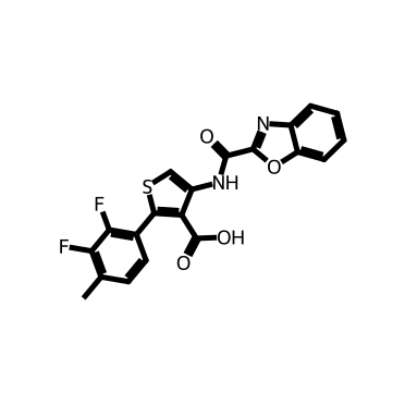 Cc1ccc(-c2scc(NC(=O)c3nc4ccccc4o3)c2C(=O)O)c(F)c1F